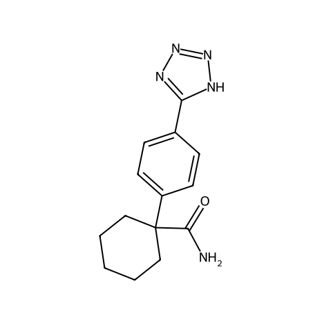 NC(=O)C1(c2ccc(-c3nnn[nH]3)cc2)CCCCC1